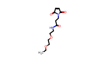 CCOCCOCCNC(=O)CCN1C(=O)C=CC1=O